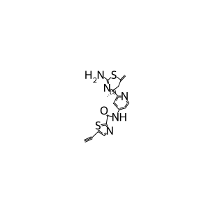 C#Cc1cnc(C(=O)Nc2ccnc([C@]3(C)CC(=C)SC(N)=N3)c2)s1